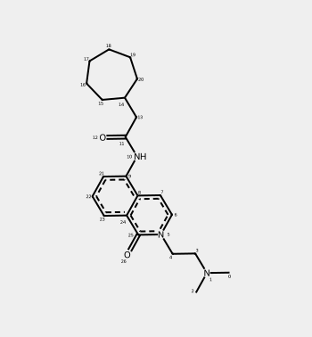 CN(C)CCn1ccc2c(NC(=O)CC3CCCCCC3)cccc2c1=O